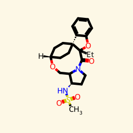 CCC12Oc3ccccc3[C@]13CC[C@H](CC3)OCC1[C@@H](NS(C)(=O)=O)CCN1C2=O